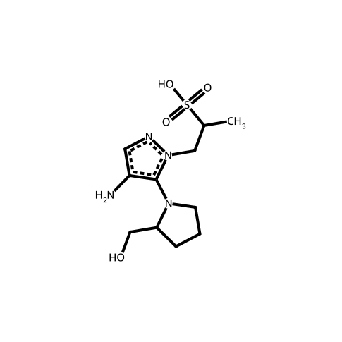 CC(Cn1ncc(N)c1N1CCCC1CO)S(=O)(=O)O